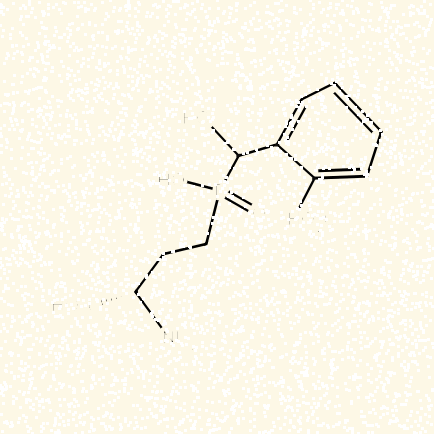 N[C@@H](CCP(=O)(O)C(O)c1ccccc1C(=O)O)C(=O)O